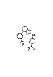 CN(C)C(=O)c1ccc(Nc2nc3cccc(-c4cccc(C(F)(F)F)c4)n3n2)cc1